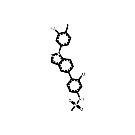 CS(=O)(=O)Nc1ccc(-c2ccc3c(cnn3-c3ccc(F)c(O)c3)c2)c(Cl)c1